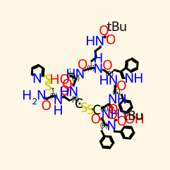 C[C@@H](O)[C@@H]1NC(=O)[C@H](CCCCNC(=O)OC(C)(C)C)NC(=O)[C@@H](Cc2c[nH]c3ccccc23)NC(=O)[C@H](Cc2ccc(O)cc2)NC(=O)[C@@H](NC(=O)[C@@H](Cc2ccccc2)N(Cc2ccccc2)C(=O)OC(C)(C)C)CSSC[C@@H](CC(=O)N[C@@H](CSSc2ccccn2)C(N)=O)NC1=O